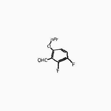 CCCOc1ccc(F)c(F)c1C=O